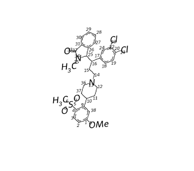 COc1ccc(S(C)(=O)=O)c(C2CCN(CCC(c3ccc(Cl)c(Cl)c3)C3c4ccccc4C(=O)N3C)CC2)c1